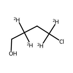 [2H]C([2H])(Cl)CC([2H])([2H])CO